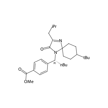 CCCC[C@H](c1ccc(C(=O)OC)cc1)N1C(=O)C(CC(C)C)=NC12CCC(C(C)(C)C)CC2